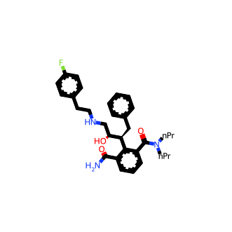 CCCN(CCC)C(=O)c1cccc(C(N)=O)c1[C@H](Cc1ccccc1)[C@@H](O)CNCCc1ccc(F)cc1